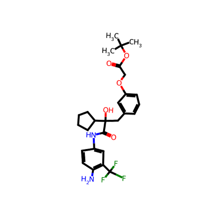 CC(C)(C)OC(=O)COc1cccc(CC(O)(C(=O)Nc2ccc(N)c(C(F)(F)F)c2)C2CCCC2)c1